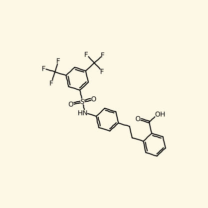 O=C(O)c1ccccc1CCc1ccc(NS(=O)(=O)c2cc(C(F)(F)F)cc(C(F)(F)F)c2)cc1